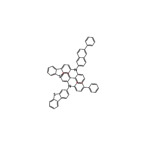 c1ccc(-c2ccc(N(c3ccc4c(c3)sc3ccccc34)c3ccccc3-c3ccccc3N(c3ccc4cc(-c5ccccc5)ccc4c3)c3ccc4c(c3)sc3ccccc34)cc2)cc1